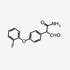 NC(=O)C(C=O)c1ccc(Oc2ccccc2F)cc1